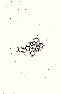 c1ccc2c(c1)-c1ccccc1C21c2ccccc2C2(c3ccccc3-c3c2ccc2c3[nH]c3ccccc32)c2ccccc21